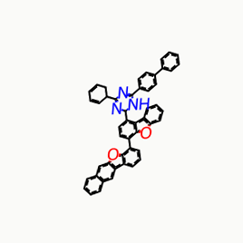 C1=CCC(C2=NC(c3ccc(-c4cccc5c4oc4cc6ccccc6cc45)c4oc5ccccc5c34)NC(c3ccc(-c4ccccc4)cc3)=N2)C=C1